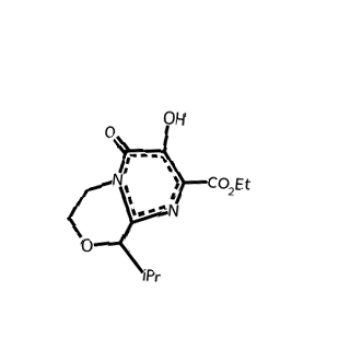 CCOC(=O)c1nc2n(c(=O)c1O)CCOC2C(C)C